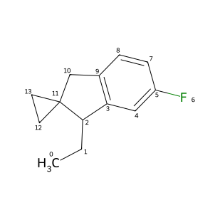 CCC1c2cc(F)ccc2CC12CC2